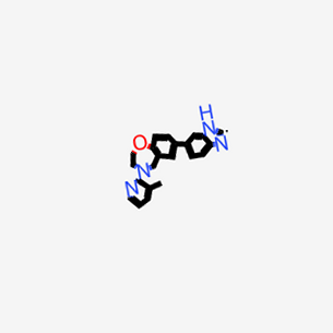 Cc1cccnc1N1CCOc2ccc(-c3ccc4n[c][nH]c4c3)cc2C1